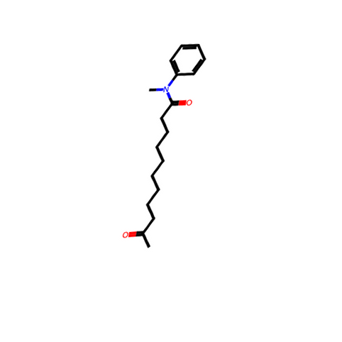 CC(=O)CCCCCCCCC(=O)N(C)c1ccccc1